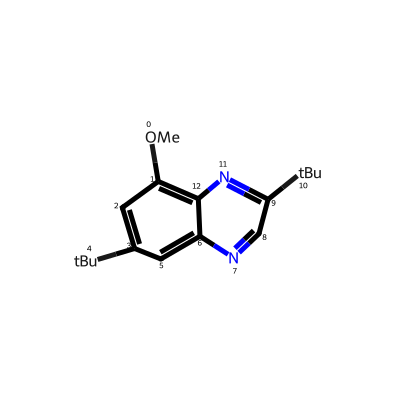 COc1cc(C(C)(C)C)cc2ncc(C(C)(C)C)nc12